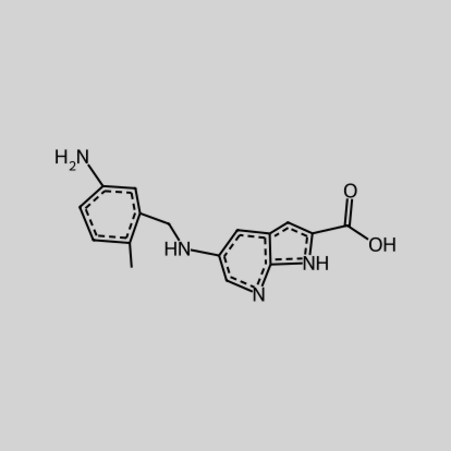 Cc1ccc(N)cc1CNc1cnc2[nH]c(C(=O)O)cc2c1